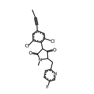 CC#Cc1cc(Cl)c(C2C(=O)C(Cc3ccc(F)cn3)N(C)C2=O)c(Cl)c1